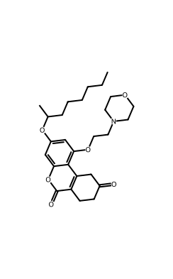 CCCCCCC(C)Oc1cc(OCCN2CCOCC2)c2c3c(c(=O)oc2c1)CCC(=O)C3